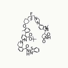 Cc1c(O[C@H]2CC[C@H](CC(F)(F)CN3CCN(c4ccc5c(C6CCC(=O)NC6=O)nn(C)c5c4)CC3)CC2)cccc1-c1ccc(N2CCc3cccc(C(=O)Nc4nc5ccccc5s4)c3C2)nc1C(=O)OC(C)(C)C